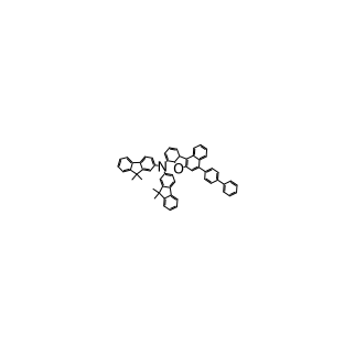 CC1(C)c2ccccc2-c2ccc(N(C3=CC=CC4c5c(cc(-c6ccc(-c7ccccc7)cc6)c6ccccc56)OC34)c3ccc4c(c3)C(C)(C)c3ccccc3-4)cc21